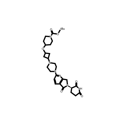 CC(C)(C)OC(=O)N1CCC(OC2CC(N3CCN(c4ccc5c(n4)CN([C@@H]4CCC(=O)NC4=O)C5=O)CC3)C2)CC1